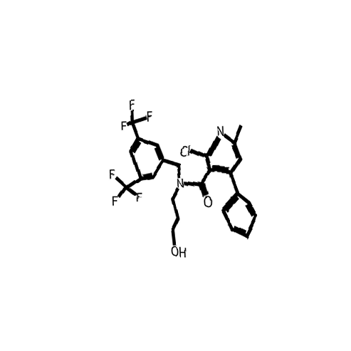 Cc1cc(-c2ccccc2)c(C(=O)N(CCCO)Cc2cc(C(F)(F)F)cc(C(F)(F)F)c2)c(Cl)n1